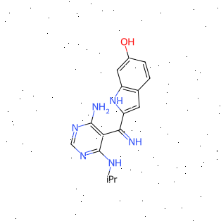 CC(C)Nc1ncnc(N)c1C(=N)c1cc2ccc(O)cc2[nH]1